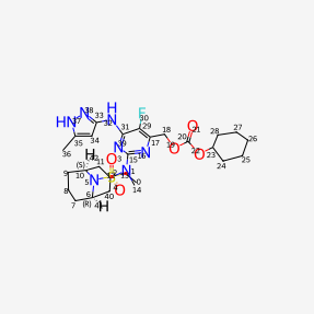 CCS(=O)(=O)N1[C@@H]2CCC[C@H]1CC(N(C)c1nc(COC(=O)OC3CCCCC3)c(F)c(Nc3cc(C)[nH]n3)n1)C2